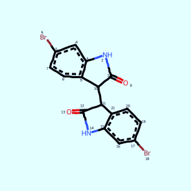 O=C1Nc2cc(Br)ccc2C1C1C(=O)Nc2cc(Br)ccc21